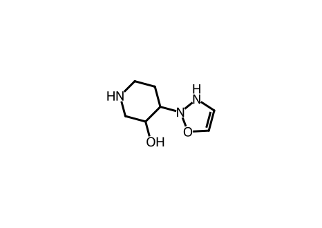 OC1CNCCC1N1NC=CO1